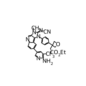 CCOC(=O)CC1(c2ccc(-n3c(=NC#N)n(C)c4cnc5ccc(-c6cnc(N)c(C(F)(F)F)c6)cc5c43)cc2)COC1